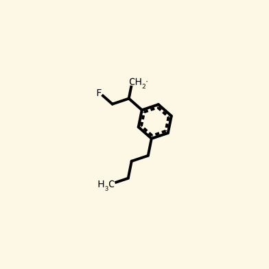 [CH2]C(CF)c1cccc(CCCC)c1